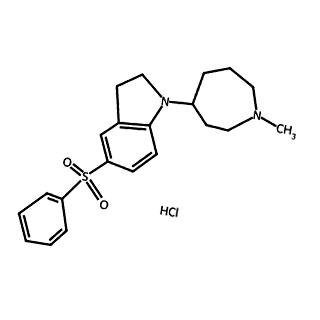 CN1CCCC(N2CCc3cc(S(=O)(=O)c4ccccc4)ccc32)CC1.Cl